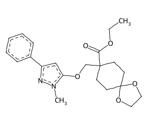 CCOC(=O)C1(COc2cc(-c3ccccc3)nn2C)CCC2(CC1)OCCO2